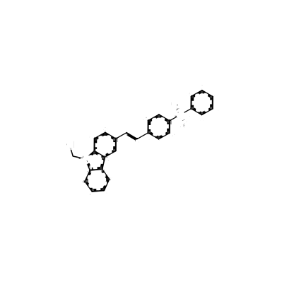 CCn1c2ccccc2c2cc(C=Cc3ccc(S(=O)(=O)c4ccccc4)cc3)ccc21